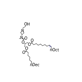 CCCCCCCC/C=C\CCCCCCCC(=O)OCC(COC(=O)CCCCCCCCCCCCCCC)OC(=O)N(C)C1CN(CCO)C1